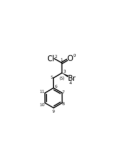 O=C(Cl)[C@@H](Br)Cc1ccccc1